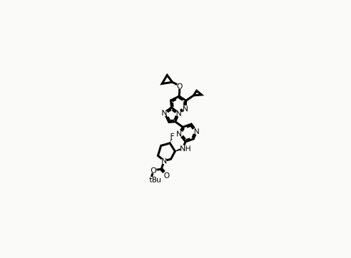 CC(C)(C)OC(=O)N1CC[C@H](F)[C@@H](Nc2cncc(-c3cnc4cc(OC5CC5)c(C5CC5)nn34)n2)C1